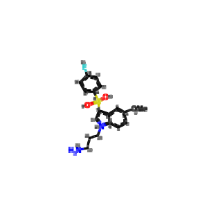 COc1ccc2c(c1)c(S(=O)(=O)c1ccc(F)cc1)cn2CCCN